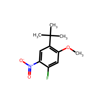 COc1cc(F)c([N+](=O)[O-])cc1C(C)(C)C